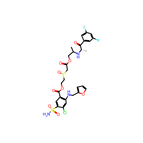 CC(COC(=O)C[S+]([O-])CCOC(=O)c1cc(S(N)(=O)=O)c(Cl)cc1NCc1ccco1)N[C@@H](C)C(=O)c1cc(F)cc(F)c1